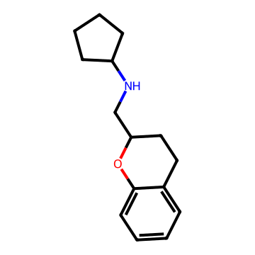 c1ccc2c(c1)CCC(CNC1CCCC1)O2